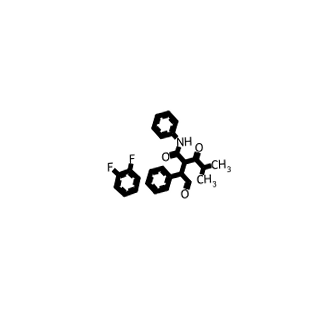 CC(C)C(=O)C(C(=O)Nc1ccccc1)C(C=O)c1ccccc1.Fc1ccccc1F